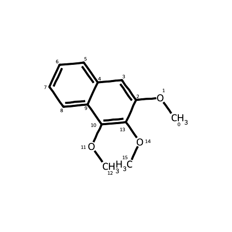 COc1cc2ccccc2c(OC)c1OC